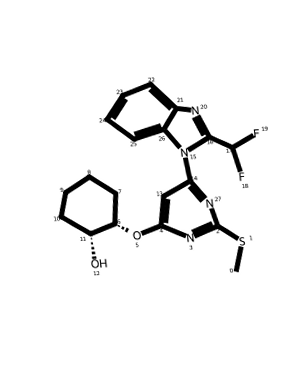 CSc1nc(O[C@H]2CCCC[C@H]2O)cc(-n2c(C(F)F)nc3ccccc32)n1